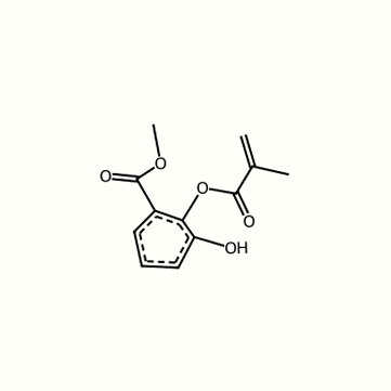 C=C(C)C(=O)Oc1c(O)cccc1C(=O)OC